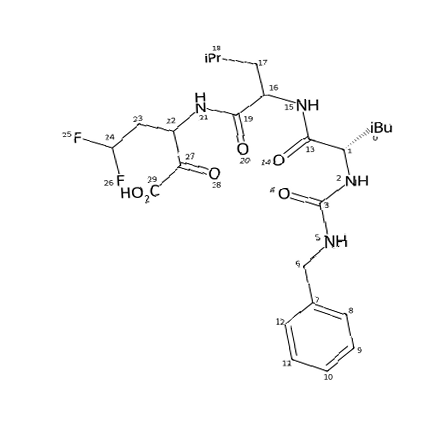 CCC(C)[C@H](NC(=O)NCc1ccccc1)C(=O)NC(CC(C)C)C(=O)NC(CC(F)F)C(=O)C(=O)O